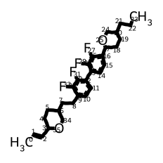 C/C=C/C1CCC(CCc2ccc(-c3ccc(C4CCC(CCC)CO4)c(F)c3F)c(F)c2F)CO1